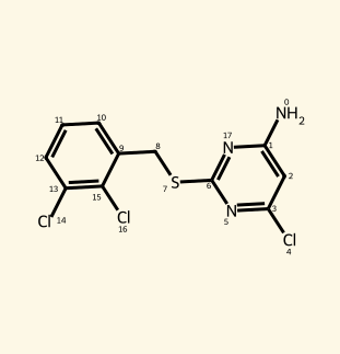 Nc1cc(Cl)nc(SCc2cccc(Cl)c2Cl)n1